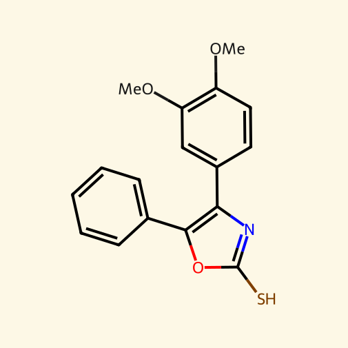 COc1ccc(-c2nc(S)oc2-c2ccccc2)cc1OC